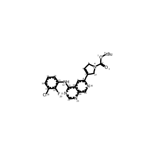 CC(C)(C)OC(=O)N1CC=C(c2cc3c(Nc4cccc(Cl)c4F)ncnc3cn2)C1